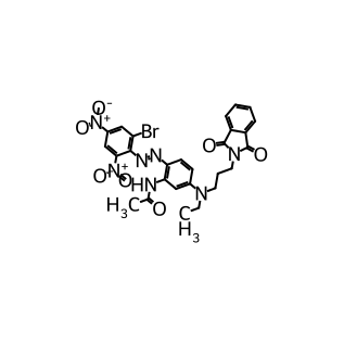 CCN(CCCN1C(=O)c2ccccc2C1=O)c1ccc(/N=N/c2c(Br)cc([N+](=O)[O-])cc2[N+](=O)[O-])c(NC(C)=O)c1